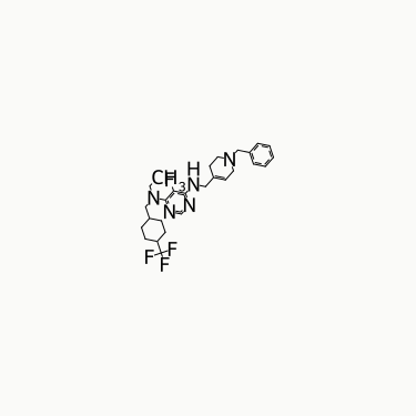 CCN(CC1CCC(C(F)(F)F)CC1)c1ncnc(NCC2=CCN(Cc3ccccc3)CC2)c1F